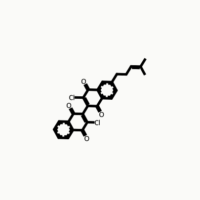 CC(C)=CCCc1ccc2c(c1)C(=O)C(Cl)=C(C1=C(Cl)C(=O)c3ccccc3C1=O)C2=O